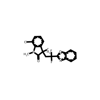 CN1C(=O)C(C)(CC(F)(F)c2nc3ccccc3o2)c2cccc(Cl)c21